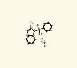 CC[Si](CC)(c1ccccc1)C1[C]([Ti+3])=Cc2ccccc21.[Cl-].[Cl-].[Cl-]